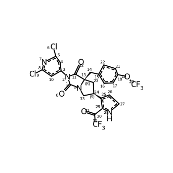 O=C1N(c2cc(Cl)nc(Cl)c2)C(=O)[C@]2(Cc3ccc(OC(F)(F)F)cc3)C[C@@H](c3cc[nH]c3C(=O)C(F)(F)F)CN12